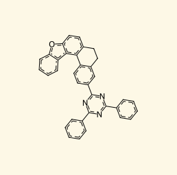 c1ccc(-c2nc(-c3ccccc3)nc(-c3ccc4c(c3)CCc3ccc5oc6ccccc6c5c3-4)n2)cc1